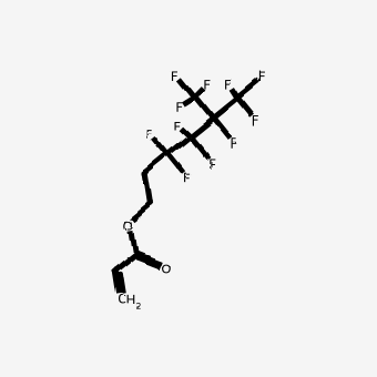 C=CC(=O)OCCC(F)(F)C(F)(F)C(F)(C(F)(F)F)C(F)(F)F